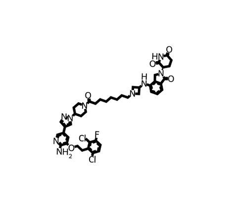 Nc1ncc(-c2cnn(C3CCN(C(=O)CCCCCCCN4CC(Nc5cccc6c5CN([C@@H]5CCC(=O)NC5=O)C6=O)C4)CC3)c2)cc1OCCc1c(Cl)ccc(F)c1Cl